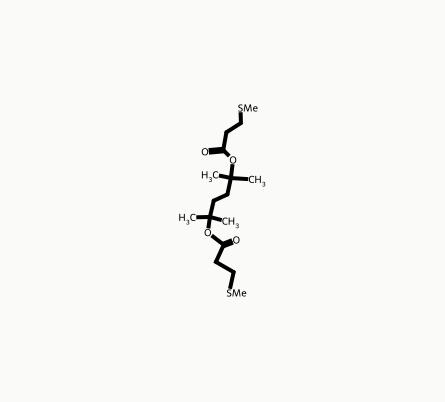 CSCCC(=O)OC(C)(C)CCC(C)(C)OC(=O)CCSC